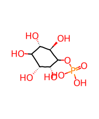 O=P(O)(O)OC1[C@H](O)[C@H](O)C(O)[C@H](O)[C@H]1O